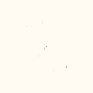 N=C1NC=CNN1CC(F)(F)C(F)(F)F.O=S(=O)(O)C(F)(F)F